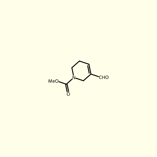 COC(=O)N1CCC=C(C=O)C1